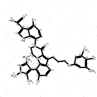 Cc1cc(OCCCc2c3n(c4c(-c5c(C)nn(C)c5C)c(Cl)ccc24)[C@H](C)CN(c2ccc(F)c4c(C(=O)O)c[nH]c24)C3=O)cc(C)c1Cl